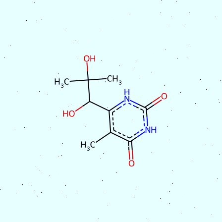 Cc1c(C(O)C(C)(C)O)[nH]c(=O)[nH]c1=O